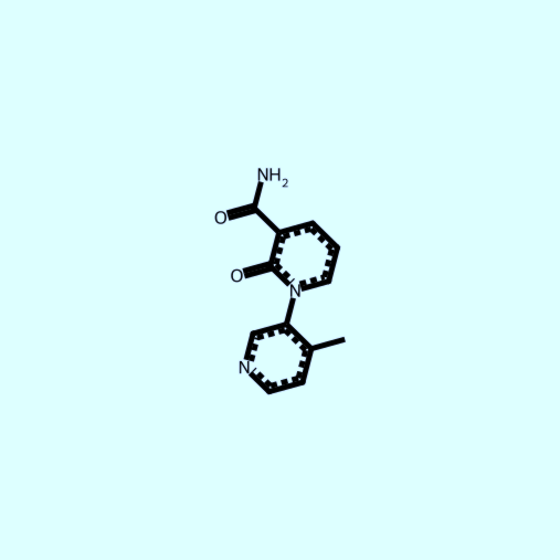 Cc1ccncc1-n1cccc(C(N)=O)c1=O